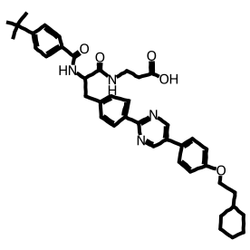 CC(C)(C)c1ccc(C(=O)NC(Cc2ccc(-c3ncc(-c4ccc(OCCC5CCCCC5)cc4)cn3)cc2)C(=O)NCCC(=O)O)cc1